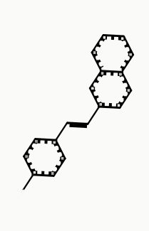 Clc1ccc(C=Cc2ccc3ccccc3c2)cc1